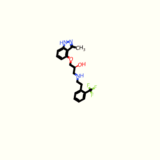 Cc1n[nH]c2cccc(OC[C@@H](O)CNCCc3ccccc3C(F)(F)F)c12